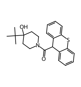 CC(C)(C)C1(O)CCN(C(=O)C2c3ccccc3Sc3ccccc32)CC1